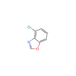 Clc1c[c]cc2ocnc12